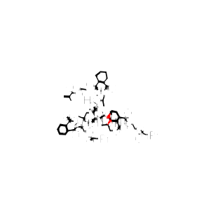 C=C(C)C(=O)OCCOC(=O)C1=C(C(=O)OCC(O)Cn2c(=O)n(CC(O)COC(=O)c3ccccc3C(=O)OCCOC(=O)C(C)C)c(=O)n(CC(O)COC(=O)c3ccccc3C(=O)OCCOC(=O)C(C)C)c2=O)CCC=C1